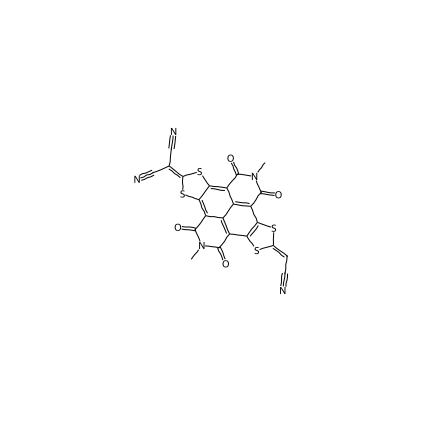 Cn1c(=O)c2c3sc(=CC#N)sc3c3c(=O)n(C)c(=O)c4c5sc(=C(C#N)C#N)sc5c(c1=O)c2c34